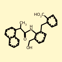 CC(C(=O)Nc1c(CO)cccc1Cc1ccccc1C(=O)O)c1cccc2ccccc12